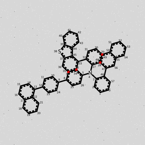 c1ccc(N(c2ccc(-c3ccc(-c4cccc5ccccc45)cc3)cc2)c2ccccc2-c2cccc3sc4ccccc4c23)c(-c2ccc3ccccc3c2)c1